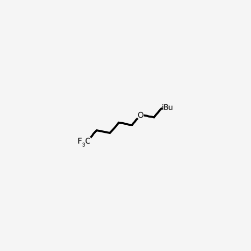 CCC(C)COCCCCC(F)(F)F